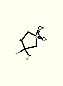 O=S1(=O)CCC(F)(F)C1